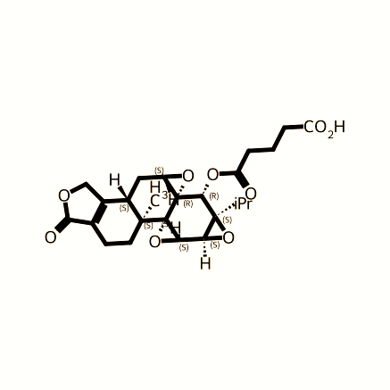 CC(C)[C@]12O[C@H]1[C@@H]1O[C@]13[C@]1(O[C@H]1C[C@H]1C4=C(CC[C@@]13C)C(=O)OC4)[C@@H]2OC(=O)CCCC(=O)O